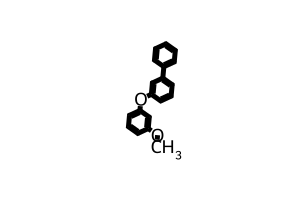 COc1cccc(Oc2cccc(-c3ccccc3)c2)c1